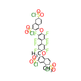 CC1c2cc(S(=O)(=O)Cl)cc(OC3(C)C(F)=C(F)C(c4c(F)c(F)c(Oc5cc(S(=O)(=O)Cl)cc6c5C=CC(S(=O)(=O)Cl)C6)c(F)c4F)=C(F)C3F)c2C=CC1S(=O)(=O)Cl